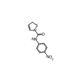 O=C(Nc1ccc([N+](=O)[O-])cc1)N1C=CCS1